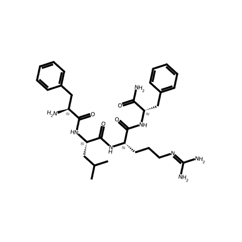 CC(C)C[C@H](NC(=O)[C@@H](N)Cc1ccccc1)C(=O)N[C@@H](CCCN=C(N)N)C(=O)N[C@@H](Cc1ccccc1)C(N)=O